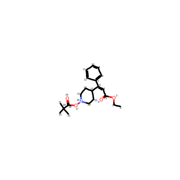 CCOC(=O)C=C(c1ccccc1)C1CCN(OC(=O)C(C)(C)C)CC1